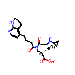 C#C[C@@H](CN(C(=O)CCCc1ccnc2c1CCCN2)C(=O)CNC1CC1)C(=O)O